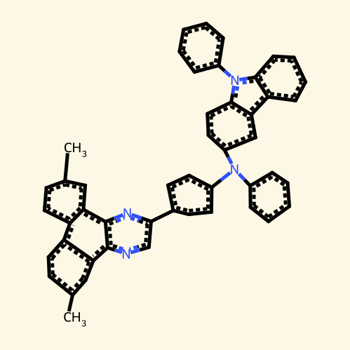 Cc1ccc2c3ccc(C)cc3c3nc(-c4ccc(N(c5ccccc5)c5ccc6c(c5)c5ccccc5n6-c5ccccc5)cc4)cnc3c2c1